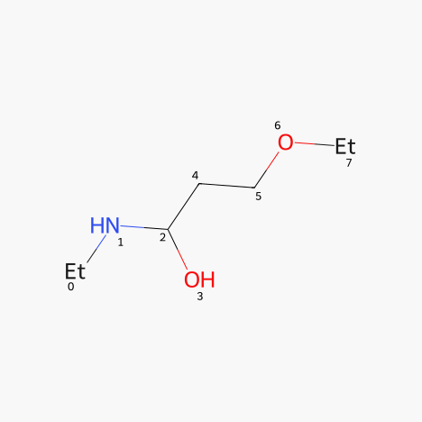 CCNC(O)CCOCC